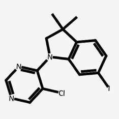 CC1(C)CN(c2ncncc2Cl)c2cc(I)ccc21